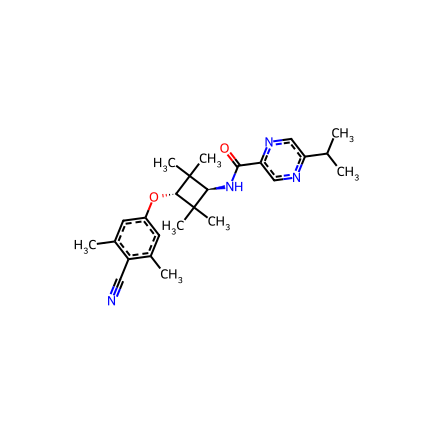 Cc1cc(O[C@H]2C(C)(C)[C@H](NC(=O)c3cnc(C(C)C)cn3)C2(C)C)cc(C)c1C#N